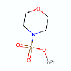 CCCOS(=O)(=O)N1CCOCC1